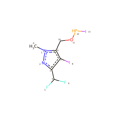 Cn1nc(C(F)F)c(I)c1COPI